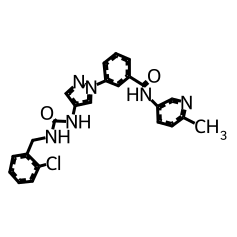 Cc1ccc(NC(=O)c2cccc(-n3cc(NC(=O)NCc4ccccc4Cl)cn3)c2)cn1